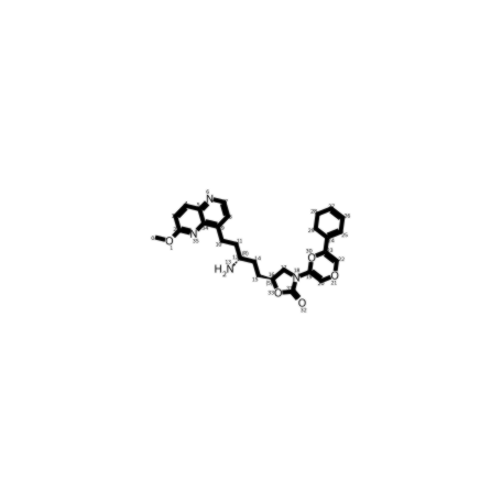 COc1ccc2nccc(CC[C@@H](N)CC[C@H]3CN(C4=COC=C(C5=CC=CCC5)O4)C(=O)O3)c2n1